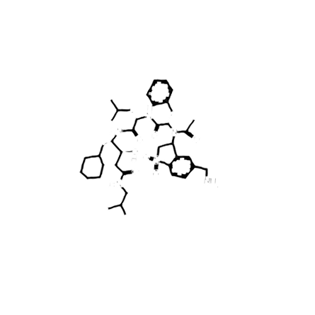 CC(=O)N(C1CS(=O)(=O)c2ccc(CN)cc21)[C@@H](Cc1ccccc1)C(=O)N[C@@H](CC(C)C)C(=O)N[C@@H](CC1CCCCC1)[C@@H](O)CC(=O)NCC(C)C